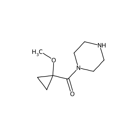 COC1(C(=O)N2CCNCC2)CC1